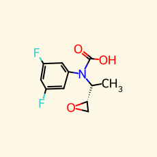 CC([C@@H]1CO1)N(C(=O)O)c1cc(F)cc(F)c1